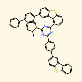 CC1C=CC=CC1c1nc(-c2ccc(-c3ccc4sc5ccccc5c4c3)cc2)nc(-c2cccc3sc4ccc(-c5ccc(-c6ccccc6)cc5)cc4c23)n1